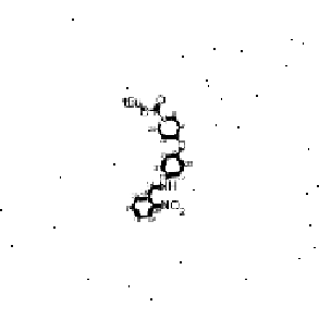 CC(C)(C)OC(=O)N1CCC(Oc2ccc(NCc3ccccc3[N+](=O)[O-])cc2)CC1